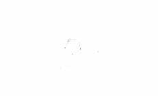 C[C@H]1C[C@@H](CF)[C@@H](CO)O1